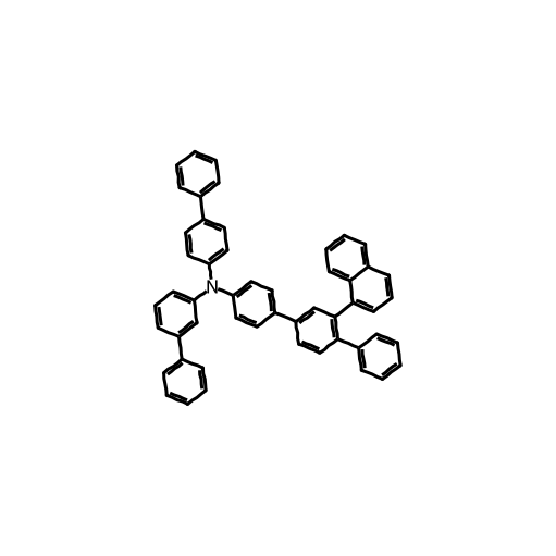 c1ccc(-c2ccc(N(c3ccc(-c4ccc(-c5ccccc5)c(-c5cccc6ccccc56)c4)cc3)c3cccc(-c4ccccc4)c3)cc2)cc1